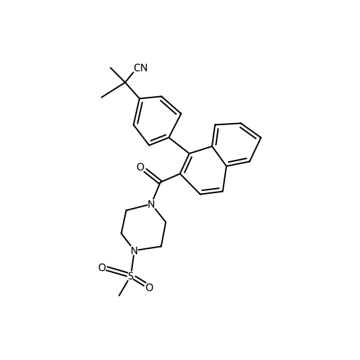 CC(C)(C#N)c1ccc(-c2c(C(=O)N3CCN(S(C)(=O)=O)CC3)ccc3ccccc23)cc1